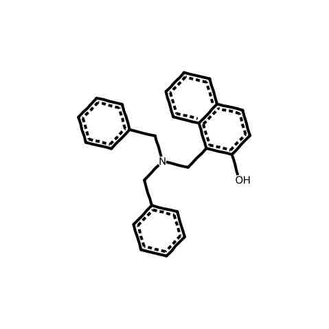 Oc1ccc2ccccc2c1CN(Cc1ccccc1)Cc1ccccc1